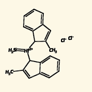 CC1=Cc2ccccc2[CH]1[Hf+2](=[SiH2])[CH]1C(C)=Cc2ccccc21.[Cl-].[Cl-]